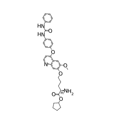 COc1cc2c(Oc3ccc(NC(=O)Nc4ccccc4)cc3)ccnc2cc1OCCC[C@@H](N)C(=O)OC1CCCC1